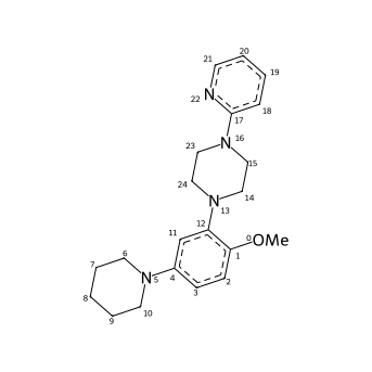 COc1ccc(N2CCCCC2)cc1N1CCN(c2ccccn2)CC1